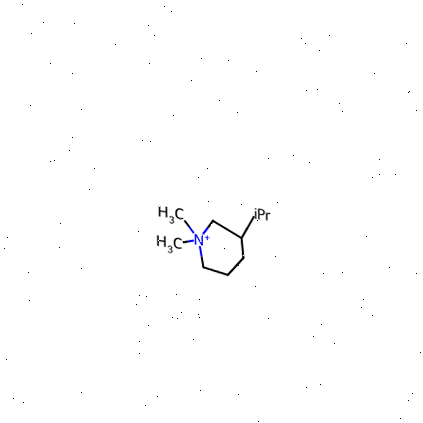 CC(C)C1CCC[N+](C)(C)C1